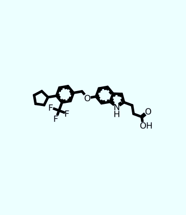 O=C(O)CCc1cc2ccc(OCc3ccc(C4CCCC4)c(C(F)(F)F)c3)cc2[nH]1